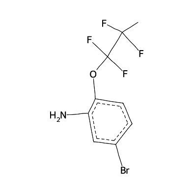 CC(F)(F)C(F)(F)Oc1ccc(Br)cc1N